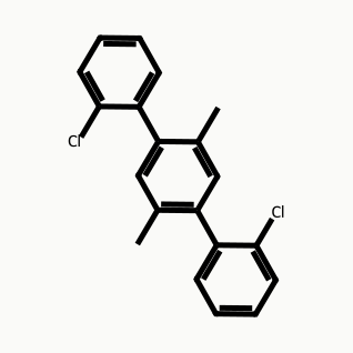 Cc1cc(-c2ccccc2Cl)c(C)cc1-c1ccccc1Cl